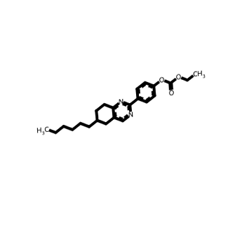 CCCCCCC1CCc2nc(-c3ccc(OC(=O)OCC)cc3)ncc2C1